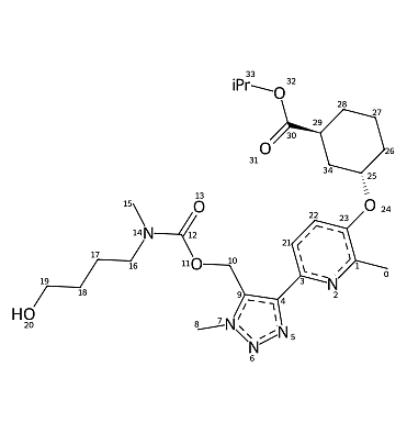 Cc1nc(-c2nnn(C)c2COC(=O)N(C)CCCCO)ccc1O[C@H]1CCC[C@H](C(=O)OC(C)C)C1